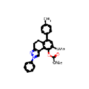 COC(=O)Oc1c(SC)cc(-c2ccc(C)cc2)c2c1-c1cn(-c3ccccc3)nc1CC2